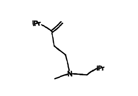 C=C(CCN(C)CC(C)C)C(C)C